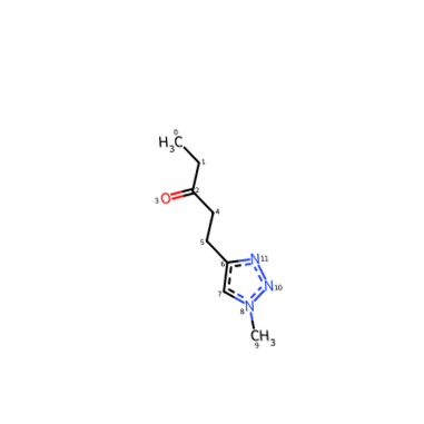 CCC(=O)CCc1cn(C)nn1